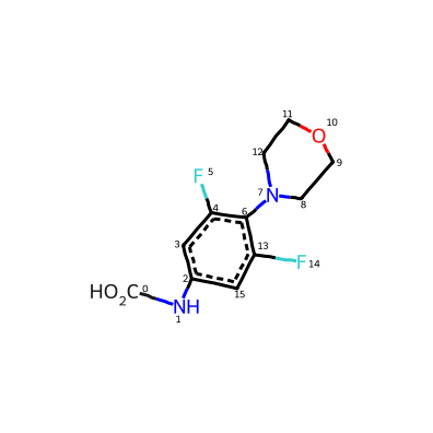 O=C(O)Nc1cc(F)c(N2CCOCC2)c(F)c1